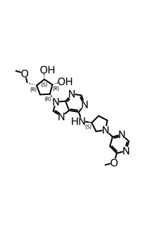 COC[C@H]1C[C@@H](n2cnc3c(N[C@H]4CCN(c5cc(OC)ncn5)C4)ncnc32)[C@@H](O)[C@H]1O